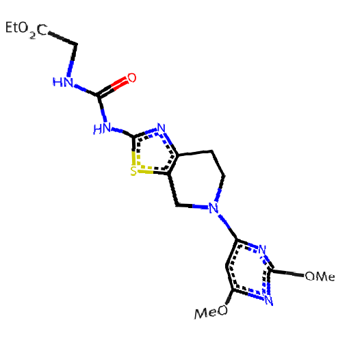 CCOC(=O)CNC(=O)Nc1nc2c(s1)CN(c1cc(OC)nc(OC)n1)CC2